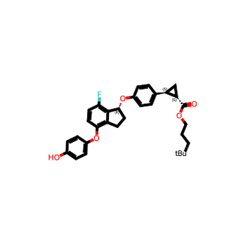 CC(C)(C)CCCOC(=O)[C@H]1C[C@@H]1c1ccc(O[C@@H]2CCc3c(Oc4ccc(O)cc4)ccc(F)c32)cc1